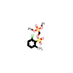 Cc1cccc(Cl)c1S(=O)(=O)OCP(=O)(OC(C)C)OC(C)C